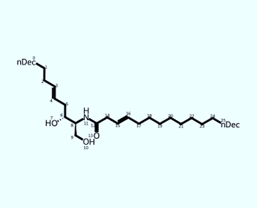 CCCCCCCCCCCCC=CC[C@@H](O)[C@H](CO)NC(=O)CC=CCCCCCCCCCCCCCCCCCC